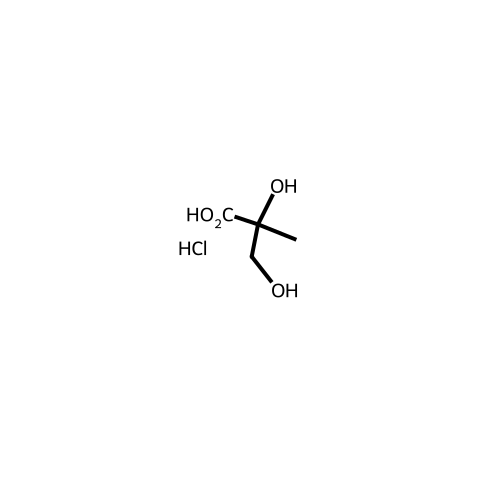 CC(O)(CO)C(=O)O.Cl